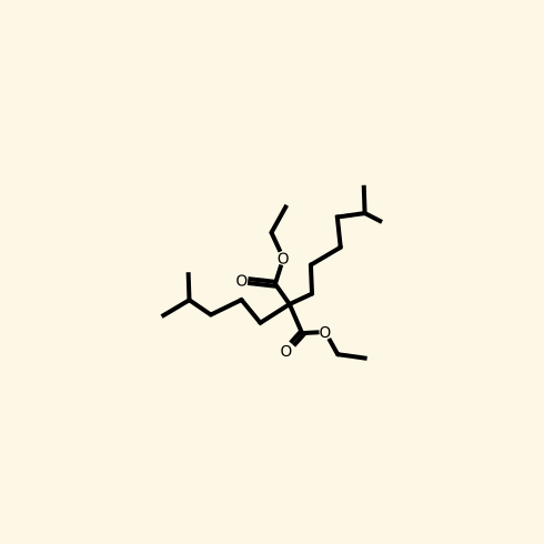 CCOC(=O)C(CCCCC(C)C)(CCCC(C)C)C(=O)OCC